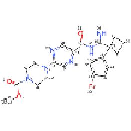 CC(C)(C)OC(=O)N1CCN(c2cnc(C(=O)NC(=N)C3(c4ccc(Br)cc4)CCC3)cn2)CC1